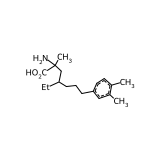 CCC(CCCc1ccc(C)c(C)c1)CC(C)(N)C(=O)O